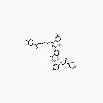 COc1cc(C(=O)Nc2ccc(C)cc2OCCCCCC(=O)N2CCN(C)CC2)ccc1NC(=O)c1ccccc1OCC(=O)N1CCN(C)CC1